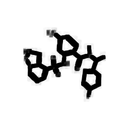 CC(c1ccc(F)cc1)N(C)C(=O)c1ccc(C(F)(F)F)cc1NS(=O)(=O)C1=CC=CN2SNC=C12